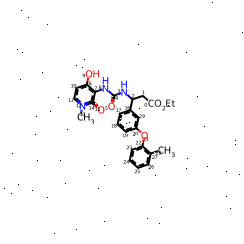 CCOC(=O)CC(NC(=O)Nc1c(O)ccn(C)c1=O)c1cccc(Oc2ccccc2C)c1